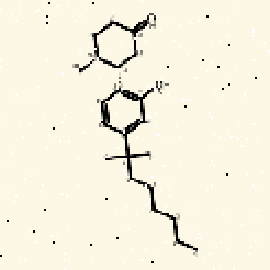 CCCCCCC(C)(C)c1ccc([C@H]2CC(=O)CC[C@@H]2C)c(O)c1